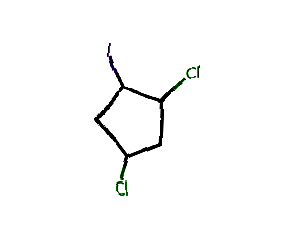 ClC1CC(Cl)C(I)C1